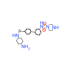 NC1CCC(N[C@@H]2C[C@H]2c2ccc(-c3cccc(NS(=O)(=O)N4CCNCC4)c3)cc2)CC1